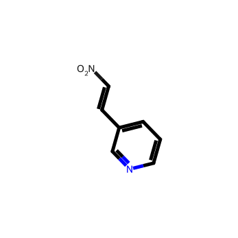 O=[N+]([O-])/C=C/c1cccnc1